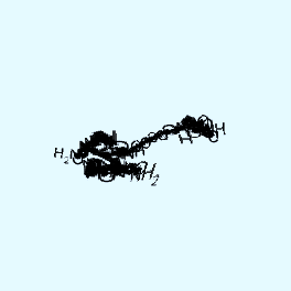 CCn1nc(C)cc1C(=O)N=c1n(C)c2cc(C(N)=O)ccc2n1CCC(CCn1c(=NC(=O)c2cc(C)nn2CC)n(C)c2cc(C(N)=O)ccc21)OCC(=O)NCCOCCOCCOCCOCCOCCNc1cccc2c1C(=O)N(C1CCC(=O)NC1=O)C2=O